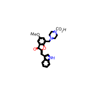 COc1cc(CN2CCN(C(=O)O)CC2)c2c(c1)C(=O)/C(=C/c1c[nH]c3ccccc13)O2